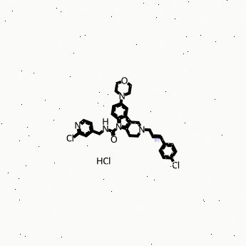 Cl.O=C(NCc1ccnc(Cl)c1)n1c2c(c3cc(N4CCOCC4)ccc31)CN(C/C=C/c1ccc(Cl)cc1)CC2